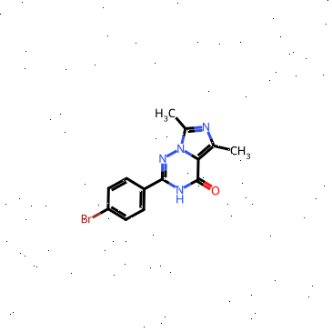 Cc1nc(C)n2nc(-c3ccc(Br)cc3)[nH]c(=O)c12